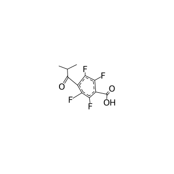 CC(C)C(=O)c1c(F)c(F)c(C(=O)O)c(F)c1F